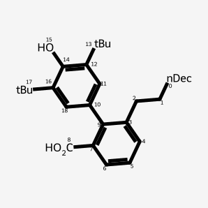 CCCCCCCCCCCCc1cccc(C(=O)O)c1-c1cc(C(C)(C)C)c(O)c(C(C)(C)C)c1